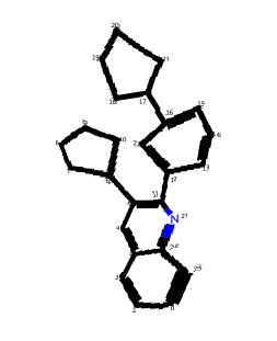 c1ccc2cc(C3CCCC3)c(-c3cccc(C4CCCC4)c3)nc2c#1